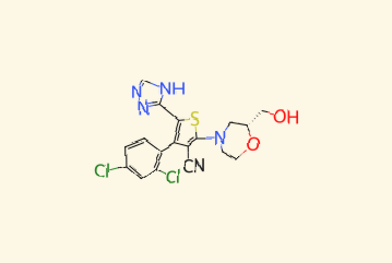 N#Cc1c(N2CCO[C@@H](CO)C2)sc(-c2nnc[nH]2)c1-c1ccc(Cl)cc1Cl